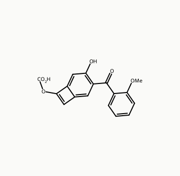 COc1ccccc1C(=O)c1cc2c(cc1O)C(OC(=O)O)=C2